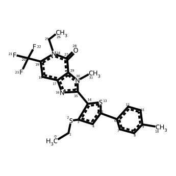 CCSc1cc(-c2ccc(C)cc2)sc1-c1nc2cc(C(F)(F)F)n(CC)c(=O)c2n1C